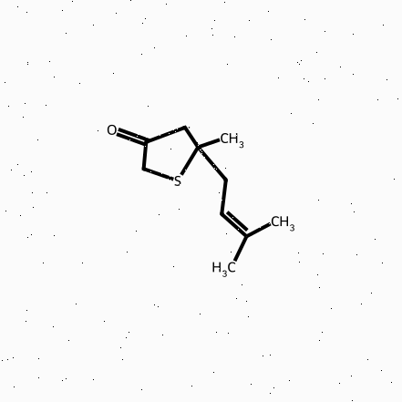 CC(C)=CCC1(C)[CH]C(=O)CS1